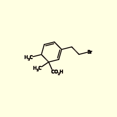 CC1C=CC(CCBr)=CC1(C)C(=O)O